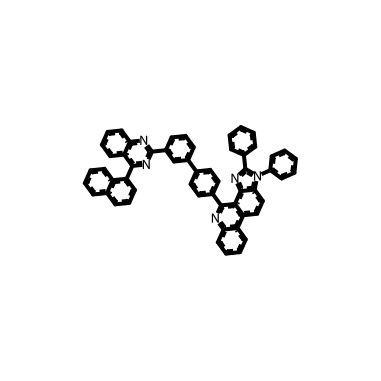 c1ccc(-c2nc3c4c(-c5ccc(-c6cccc(-c7nc(-c8cccc9ccccc89)c8ccccc8n7)c6)cc5)nc5ccccc5c4ccc3n2-c2ccccc2)cc1